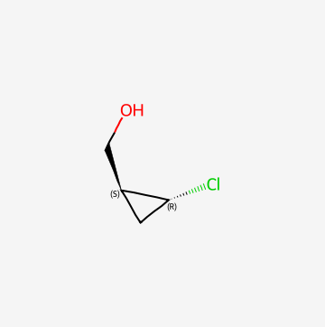 OC[C@@H]1C[C@H]1Cl